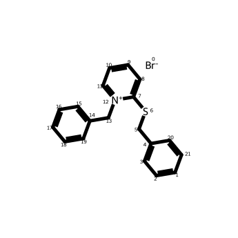 [Br-].c1ccc(CSc2cccc[n+]2Cc2ccccc2)cc1